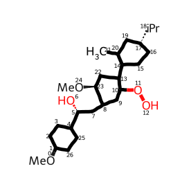 COC1CCC([C@H](O)CC2CC(OO)C(C3CC[C@@H](C(C)C)CC3C)C[C@@H]2OC)CC1